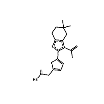 C=C(C)c1c(C2=CC=C(CNS)C2)sc2c1CC(C)(C)CC2